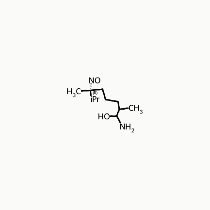 CC(CCC[C@@](C)(N=O)C(C)C)C(N)O